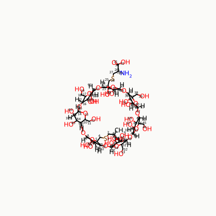 C[C@H](CSCC1O[C@@H]2O[C@@H]3C(CO)O[C@H](O[C@@H]4C(CO)O[C@H](O[C@@H]5C(CSC[C@@H](N)C(=O)O)O[C@H](O[C@@H]6C(CO)O[C@H](O[C@@H]7C(CO)O[C@H](O[C@@H]8C(CO)O[C@H](O[C@H]1[C@H](O)C2O)C(O)[C@H]8O)[C@@H](O)C7O)[C@@H](O)C6O)[C@@H](O)C5O)[C@@H](O)C4O)[C@@H](O)C3O)C(=O)O